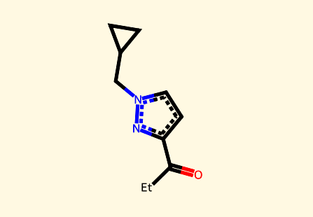 CCC(=O)c1ccn(CC2CC2)n1